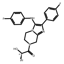 CC(C)[C@@H](O)C(=O)N1CCn2c(nc(-c3ccc(F)cc3)c2Nc2ccc(F)cc2)C1